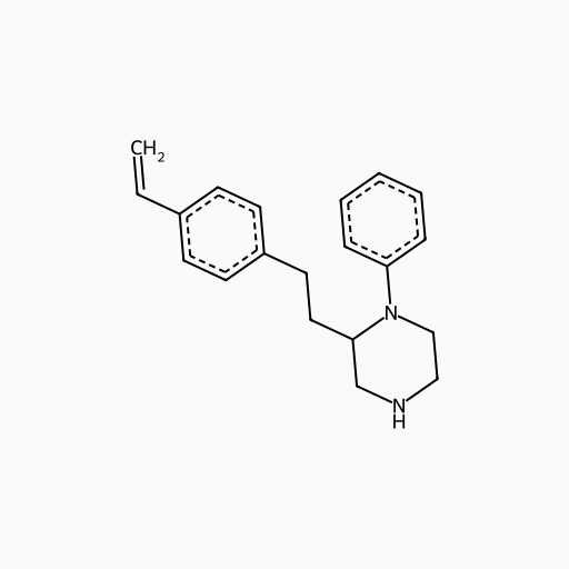 C=Cc1ccc(CCC2CNCCN2c2ccccc2)cc1